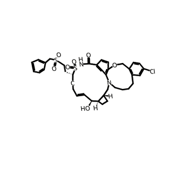 O=C1NS(=O)(=O)[C@@H](CCS(=O)(=O)Cc2ccccc2)CC/C=C/[C@H](O)[C@@H]2CC[C@H]2CN2CCCCc3cc(Cl)ccc3COc3ccc1cc32